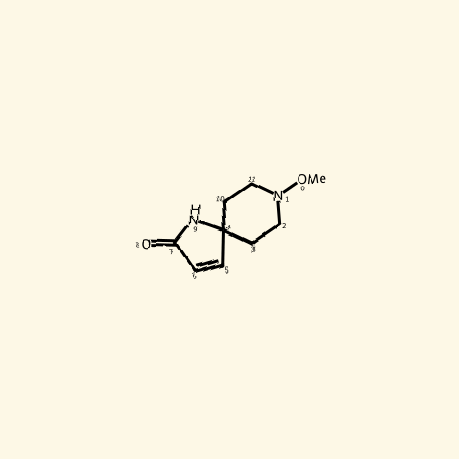 CON1CCC2(C=CC(=O)N2)CC1